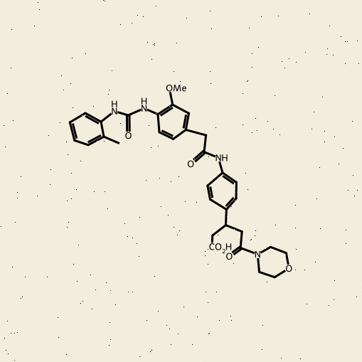 COc1cc(CC(=O)Nc2ccc(C(CC(=O)O)CC(=O)N3CCOCC3)cc2)ccc1NC(=O)Nc1ccccc1C